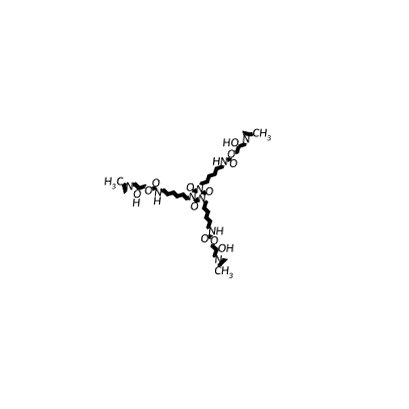 CC1CN1CC(O)COC(=O)NCCCCCCn1c(=O)n(CCCCCCNC(=O)OCC(O)CN2CC2C)c(=O)n(CCCCCCNC(=O)OCC(O)CN2CC2C)c1=O